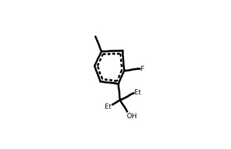 CCC(O)(CC)c1ccc(C)cc1F